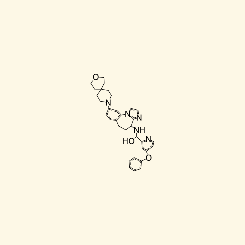 OC(NC1CCc2ccc(N3CCC4(CCOCC4)CC3)cc2-n2ccnc21)c1cc(Oc2ccccc2)ccn1